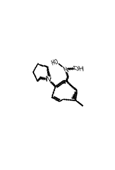 Cc1ccc(N2CCCC2)c(N(O)O)c1